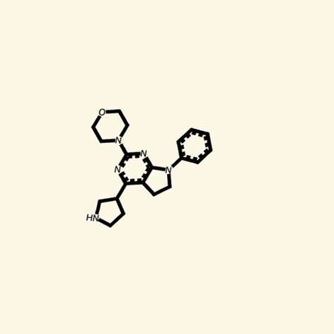 c1ccc(N2CCc3c(C4CCNC4)nc(N4CCOCC4)nc32)cc1